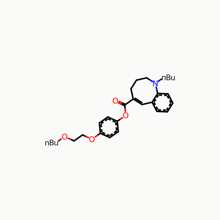 CCCCOCCOc1ccc(OC(=O)C2=Cc3ccccc3N(CCCC)CCC2)cc1